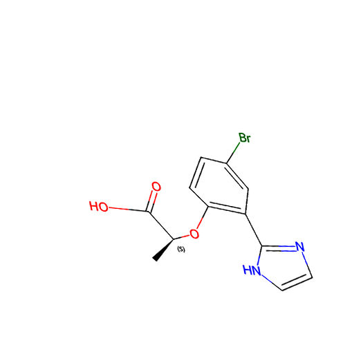 C[C@H](Oc1ccc(Br)cc1-c1ncc[nH]1)C(=O)O